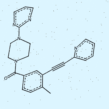 Cc1ccc(C(=O)N2CCN(c3ncccn3)CC2)cc1C#Cc1ccccn1